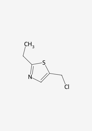 CCc1ncc(CCl)s1